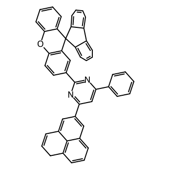 C1=Cc2cc(-c3cc(-c4ccccc4)nc(-c4ccc5c(c4)C4(c6ccccc6O5)c5ccccc5-c5ccccc54)n3)cc3cccc(c23)C1